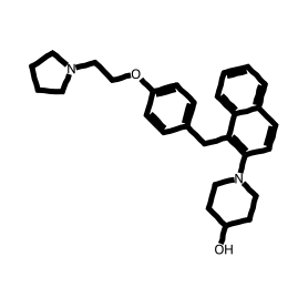 OC1CCN(c2ccc3ccccc3c2Cc2ccc(OCCN3CCCC3)cc2)CC1